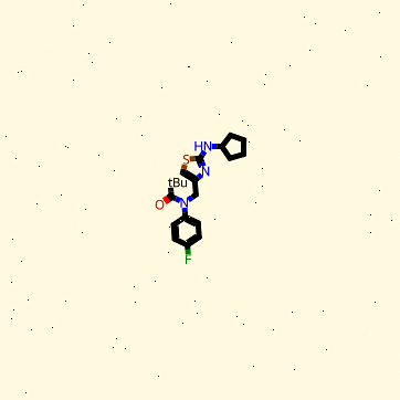 CC(C)(C)C(=O)N(Cc1csc(NC2CCCC2)n1)c1ccc(F)cc1